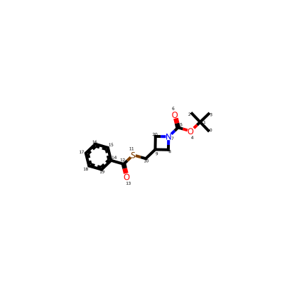 CC(C)(C)OC(=O)N1CC(CSC(=O)c2ccccc2)C1